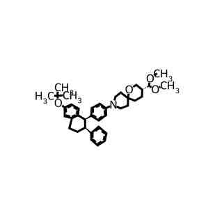 COC(OC)[C@@H]1CCC2(CCN(c3ccc([C@@H]4c5ccc(OC(C)(C)C)cc5CC[C@@H]4c4ccccc4)cc3)CC2)OC1